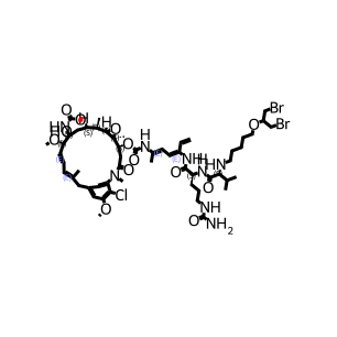 C=C/C(=C\C=C(/C)NC(=O)O[C@H]1CC(=O)N(C)c2cc(cc(OC)c2Cl)C/C(C)=C/C=C/[C@@H](OC)[C@@]2(O)C[C@H](OC(=O)N2)[C@@H](C)[C@@H]2O[C@@]12C)NC(=O)[C@H](CCCNC(N)=O)NC(=O)[C@@H](NCCCCCOC(CBr)CBr)C(C)C